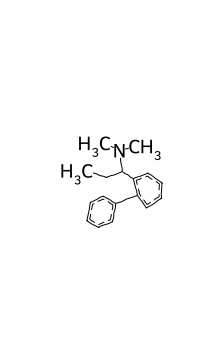 CCC(c1ccccc1-c1ccccc1)N(C)C